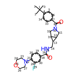 CC(C)(C)c1ccc(C(=O)N2CC3C(CNC(=O)c4ccc(N5CCOCC5)c(F)c4)C3C2)cc1